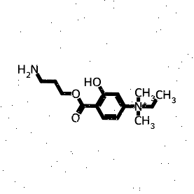 CC[N+](C)(C)c1ccc(C(=O)OCCCN)c(O)c1